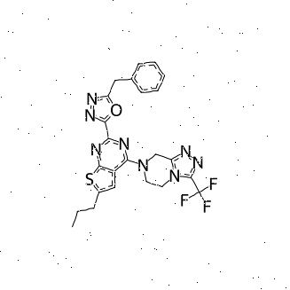 CCCc1cc2c(N3CCn4c(nnc4C(F)(F)F)C3)nc(-c3nnc(Cc4ccccc4)o3)nc2s1